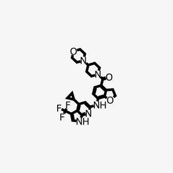 O=C(c1ccc(Nc2cc(C3CC3)c3c(C(F)(F)F)c[nH]c3n2)c2c1CCO2)N1CCC(N2CCOCC2)CC1